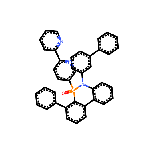 O=P1(c2ccc(-c3ccccn3)nc2)c2c(-c3ccccc3)cccc2-c2ccccc2N1c1cccc(-c2ccccc2)c1